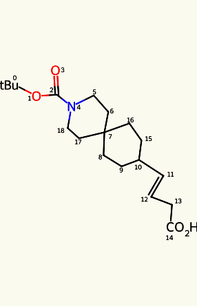 CC(C)(C)OC(=O)N1CCC2(CCC(C=CCC(=O)O)CC2)CC1